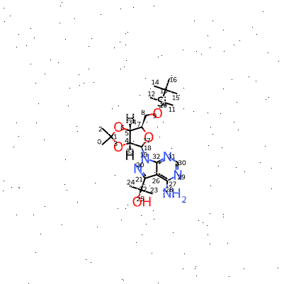 CC1(C)O[C@@H]2[C@H](O1)[C@@H](CO[Si](C)(C)C(C)(C)C)O[C@H]2n1nc(C(C)(C)O)c2c(N)ncnc21